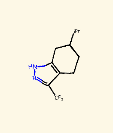 CC(C)C1CCc2c(C(F)(F)F)n[nH]c2C1